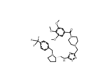 COc1cc(C(=O)N2CCN(Cc3nsc(NC[C@@H]4CCCN4Cc4ccc(C(F)(F)F)cc4)n3)CC2)cc(OC)c1OC